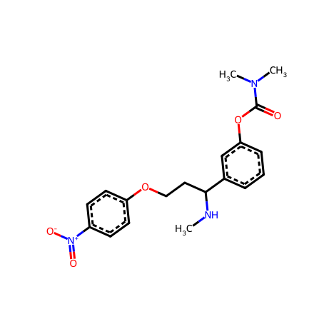 CNC(CCOc1ccc([N+](=O)[O-])cc1)c1cccc(OC(=O)N(C)C)c1